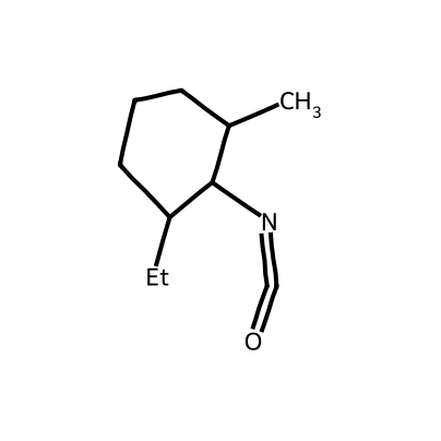 CCC1CCCC(C)C1N=C=O